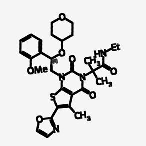 CCNC(=O)C(C)(C)n1c(=O)c2c(C)c(-c3ncco3)sc2n(C[C@H](OC2CCOCC2)c2ccccc2OC)c1=O